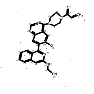 C=CC(=O)N1CCN(c2ncnc3cc(-c4nc(NCC#N)cc5ccccc45)c(Cl)cc23)CC1